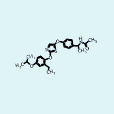 CCc1cc(OC(C)C)ccc1Oc1ncc(Oc2ccc(C(C)NC(C)=O)cc2)s1